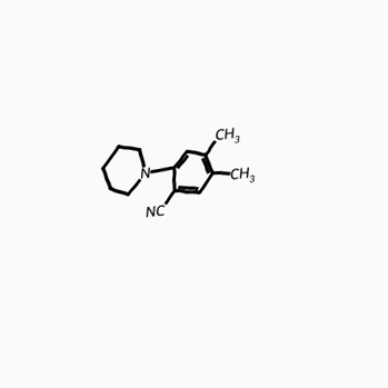 Cc1cc(C#N)c(N2CCCCC2)cc1C